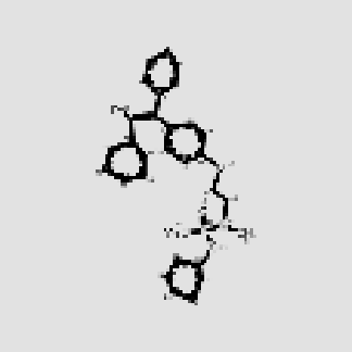 CC/C(=C(\c1ccccc1)c1ccc(OCCN(C)P(=O)(OC)Oc2ccccc2)cc1)c1ccccc1